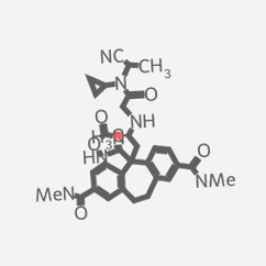 CNC(=O)c1ccc2c(c1)CCc1cc(C(=O)NC)ccc1C2(C[C@H](C)NCC(=O)N(C(C)C#N)C1CC1)c1nc(=O)o[nH]1